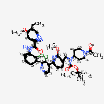 C=Cc1cnc(C(=O)Nc2cccc(-c3nccc(-c4ccc(CN(C(=O)OC(C)(C)C)C5CCN(C(C)=O)CC5)c(OC)n4)c3Cl)c2Cl)cc1OC